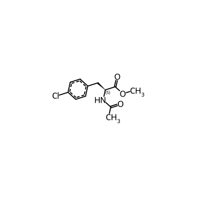 COC(=O)[C@H](Cc1ccc(Cl)cc1)NC(C)=O